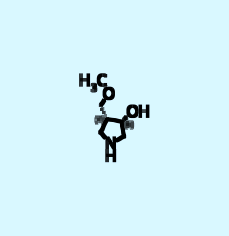 COC[C@H]1CNC[C@@H]1O